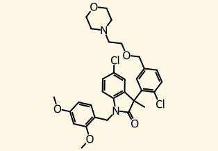 COc1ccc(CN2C(=O)C(C)(c3cc(COCCN4CCOCC4)ccc3Cl)c3cc(Cl)ccc32)c(OC)c1